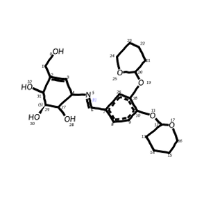 OCC1=CC(/N=C/c2ccc(OC3CCCCO3)c(OC3CCCCO3)c2)C(O)[C@@H](O)C1O